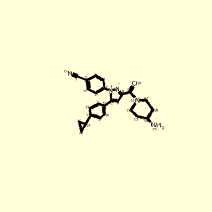 N#Cc1ccc(-n2nc(C(=O)N3CCC(N)CC3)cc2-c2ccc(C3CC3)cc2)cc1